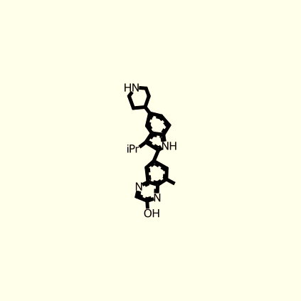 Cc1cc(-c2[nH]c3ccc(C4CCNCC4)cc3c2C(C)C)cc2ncc(O)nc12